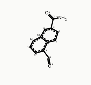 NC(=O)c1ccc2c(C=O)cccc2c1